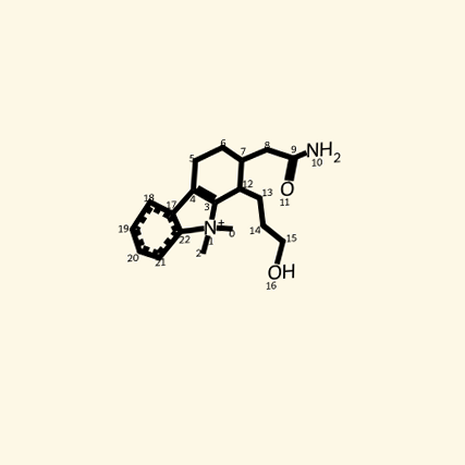 C[N+]1(C)C2=C(CCC(CC(N)=O)C2CCCO)c2ccccc21